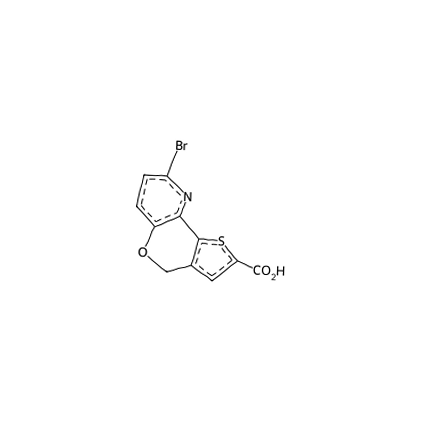 O=C(O)c1cc2c(s1)-c1nc(Br)ccc1OC2